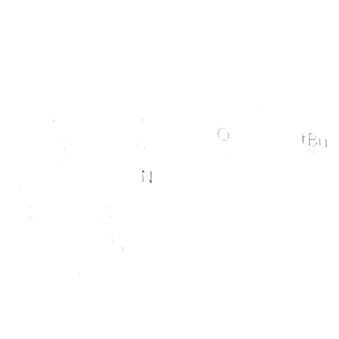 CC(C)(C)COCc1ccc2ccccc2n1